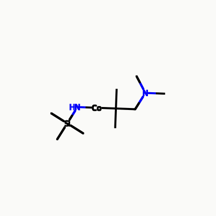 CN(C)C[C](C)(C)[Co][NH][Si](C)(C)C